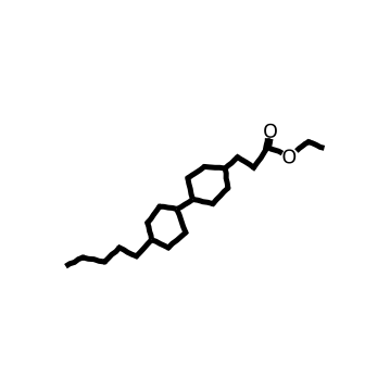 CCCCCC1CCC(C2CCC(CCC(=O)OCC)CC2)CC1